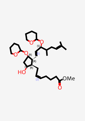 COC(=O)CCC/C=C\C[C@@H]1[C@@H](/C=C/[C@@H](OC2CCCCO2)C(C)CC=C(C)C)[C@H](OC2CCCCO2)C[C@@H]1O